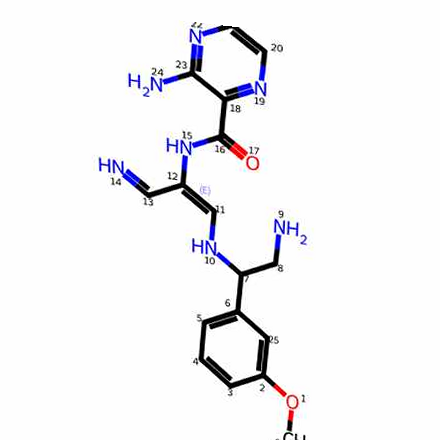 COc1cccc(C(CN)N/C=C(\C=N)NC(=O)c2nccnc2N)c1